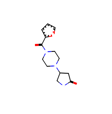 O=C1CC(N2CCN(C(=O)c3ccco3)CC2)CN1